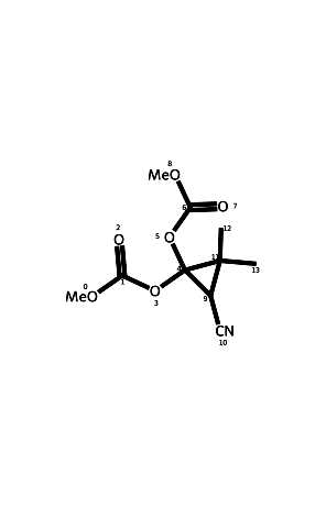 COC(=O)OC1(OC(=O)OC)C(C#N)C1(C)C